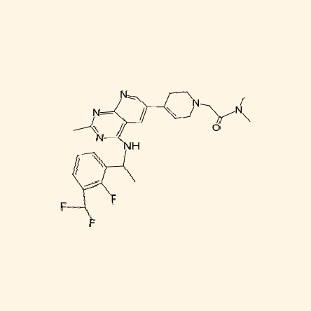 Cc1nc(NC(C)c2cccc(C(F)F)c2F)c2cc(C3=CCN(CC(=O)N(C)C)CC3)cnc2n1